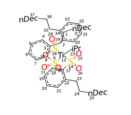 CCCCCCCCCCCCc1ccccc1[S](=O)(=O)[Ti]([CH](C)C)([S](=O)(=O)c1ccccc1CCCCCCCCCCCC)[S](=O)(=O)c1ccccc1CCCCCCCCCCCC